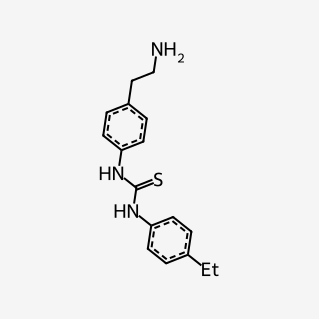 CCc1ccc(NC(=S)Nc2ccc(CCN)cc2)cc1